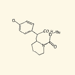 CC(C)(C)OC(=O)N1CCCCC1C(C(=O)O)c1ccc(Cl)cc1